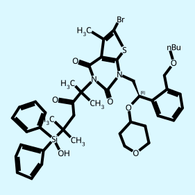 CCCCOCc1ccccc1[C@H](Cn1c(=O)n(C(C)(C)C(=O)CC(C)(C)[Si](O)(c2ccccc2)c2ccccc2)c(=O)c2c(C)c(Br)sc21)OC1CCOCC1